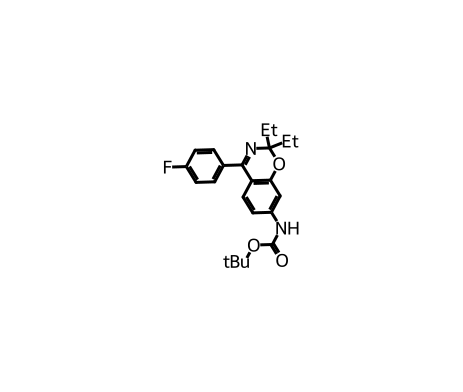 CCC1(CC)N=C(c2ccc(F)cc2)c2ccc(NC(=O)OC(C)(C)C)cc2O1